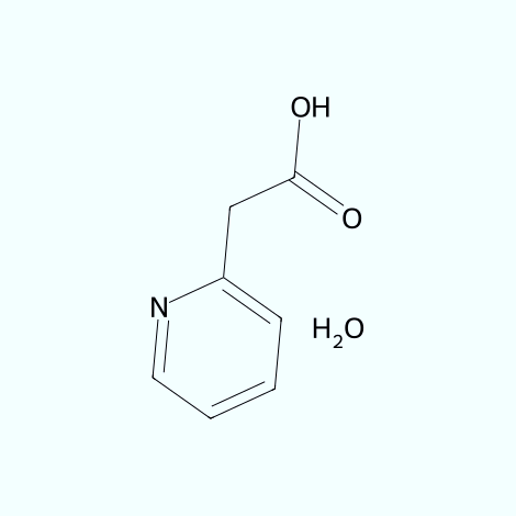 O.O=C(O)Cc1ccccn1